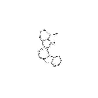 Brc1cccc2c1[nH]c1c3c(ccc12)Cc1ccccc1-3